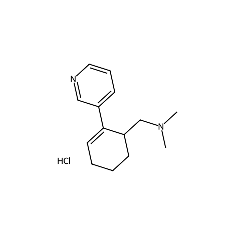 CN(C)CC1CCCC=C1c1cccnc1.Cl